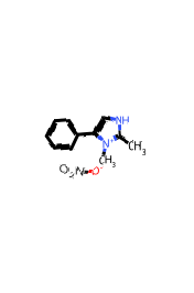 Cc1[nH]cc(-c2ccccc2)[n+]1C.O=[N+]([O-])[O-]